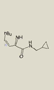 CCCC/C=C\C(=N)C(=O)NCC1CC1